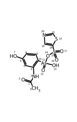 CC(=O)Nc1cc(O)ccc1[As](=O)(O)OS(=O)(=O)c1cncs1